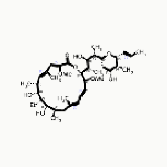 C/C=C/[C@H]1O[C@@H]([C@@H](C)[C@H](O)[C@H](C)[C@H]2OC(=O)/C(OC)=C/C(C)=C/[C@@H](C)[C@@H](O)[C@@H](CC)[C@@H](O)[C@H](C)C/C(C)=C/C=C/[C@@H]2OC)C[C@@H](O)[C@@H]1C